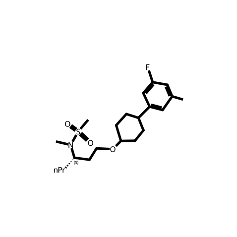 CCC[C@@H](CCOC1CCC(c2cc(C)cc(F)c2)CC1)N(C)S(C)(=O)=O